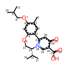 Cc1cc2c(cc1OCC(C)C)OC[C@@H](C(C)C)n1cc(C(=O)O)c(=O)cc1-2